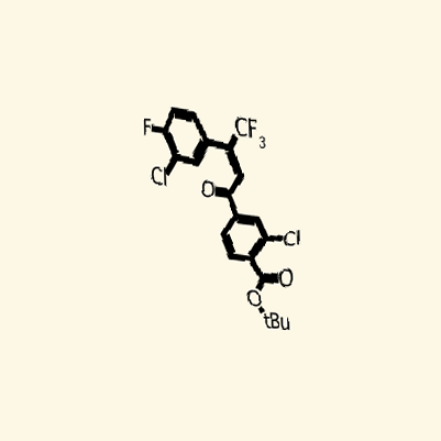 CC(C)(C)OC(=O)c1ccc(C(=O)/C=C(\c2ccc(F)c(Cl)c2)C(F)(F)F)cc1Cl